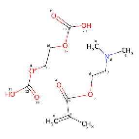 C=C(C)C(=O)OCCN(C)C.O=C(O)OCCOC(=O)O